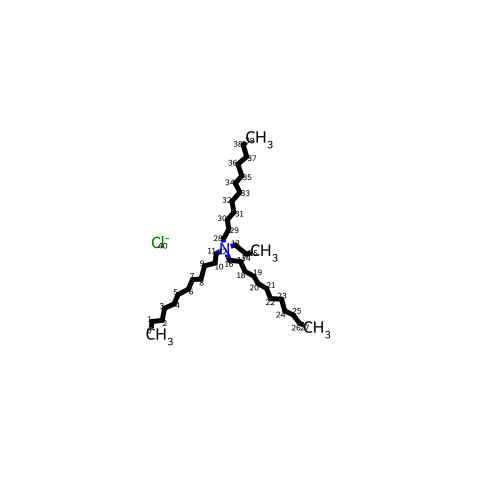 CCCCCCCCCCCC[N+](CCC)(CCCCCCCCCCCC)CCCCCCCCCCCC.[Cl-]